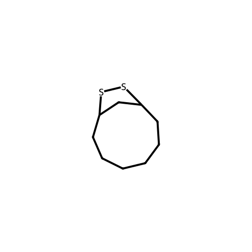 C1CCCC2CC(CC1)SS2